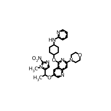 CC(Oc1cnc2cc(N3CCOCC3)nc(OC3CCC(Nc4ccccn4)CC3)c2c1)c1cnc([N+](=O)[O-])n1C